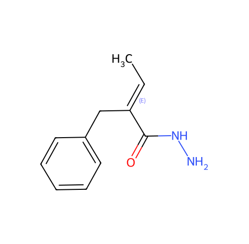 C/C=C(\Cc1ccccc1)C(=O)NN